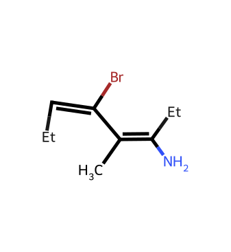 CC/C=C(Br)\C(C)=C(\N)CC